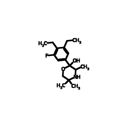 CCc1cc(C2(O)OCC(C)(C)NC2C)cc(F)c1CC